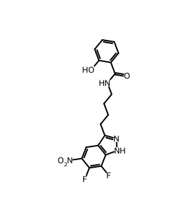 O=C(NCCCCc1n[nH]c2c(F)c(F)c([N+](=O)[O-])cc12)c1ccccc1O